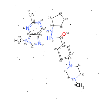 CN1CCN(c2ccc(C(=O)NN(c3nc(C#N)nc4c3ncn4C)C3CCCC3)cc2)CC1